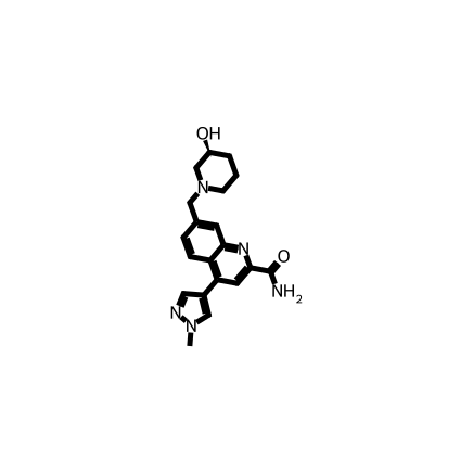 Cn1cc(-c2cc(C(N)=O)nc3cc(CN4CCC[C@H](O)C4)ccc23)cn1